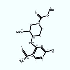 CO[C@H]1CN(C(=O)OC(C)(C)C)CC[C@H]1Nc1cc(Cl)ncc1C(N)=O